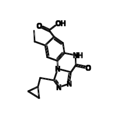 CCc1cc2c(cc1C(=O)O)[nH]c(=O)c1nnc(CC3CC3)n12